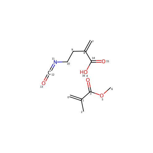 C=C(C)C(=O)OC.C=C(CCN=C=O)C(=O)O